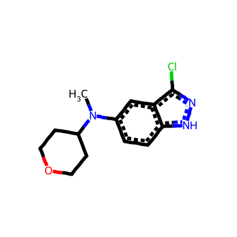 CN(c1ccc2[nH]nc(Cl)c2c1)C1CCOCC1